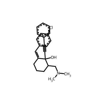 CN(C)CC1CCC/C(=C/c2ccc(Cl)cc2)C1(O)C#Cc1ccccc1